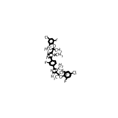 Cn1c(-c2ccc(-c3nnc(C(C)(C)Oc4c(F)cc(Cl)cc4F)n3C)c(F)c2)nnc1C(C)(C)Oc1c(F)cc(Cl)cc1F